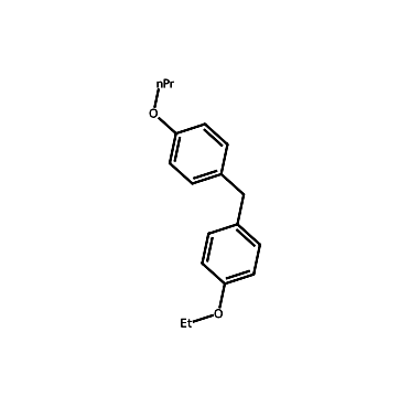 CCCOc1ccc(Cc2ccc(OCC)cc2)cc1